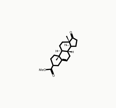 COC(=O)C1CC[C@@]2(C)C(=CC[C@@H]3[C@@H]2CC[C@]2(C)C(=O)CC[C@@H]32)C1